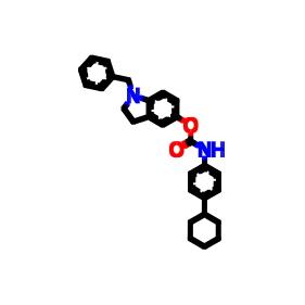 O=C(Nc1ccc(C2CCCCC2)cc1)Oc1ccc2c(c1)CCN2Cc1ccccc1